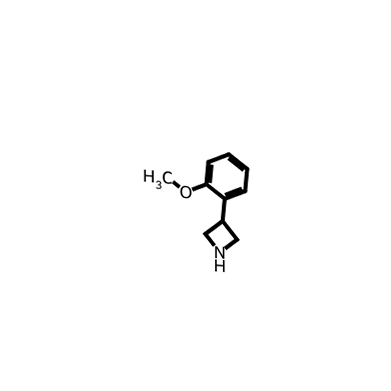 COc1ccccc1C1CNC1